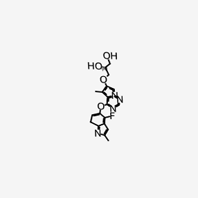 CC1=CC2=C(F)C(Oc3ncnn4cc(OC[C@H](O)CO)c(C)c34)=CCC2=N1